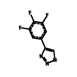 Fc1cc(C2=C[N]N=N2)cc(F)c1F